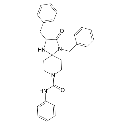 O=C(Nc1ccccc1)N1CCC2(CC1)NC(Cc1ccccc1)C(=O)N2Cc1ccccc1